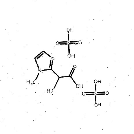 CC(C(=O)O)c1nccn1C.O=S(=O)(O)O.O=S(=O)(O)O